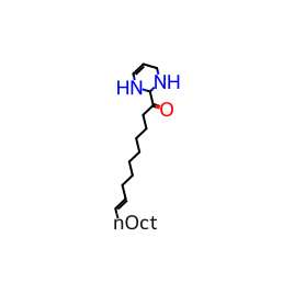 CCCCCCCCC=CCCCCCCCC(=O)C1NC=CCN1